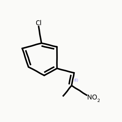 C/C(=C\c1cccc(Cl)c1)[N+](=O)[O-]